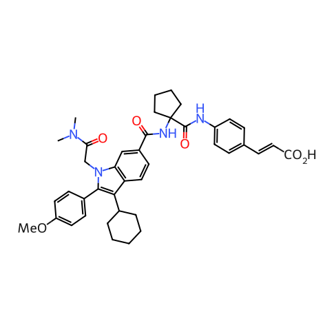 COc1ccc(-c2c(C3CCCCC3)c3ccc(C(=O)NC4(C(=O)Nc5ccc(/C=C/C(=O)O)cc5)CCCC4)cc3n2CC(=O)N(C)C)cc1